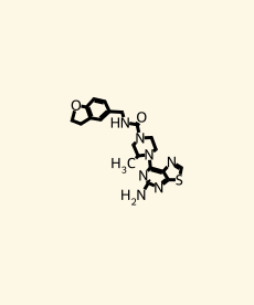 CC1CN(C(=O)NCc2ccc3c(c2)CCO3)CCN1c1nc(N)nc2scnc12